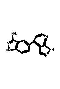 Nc1n[nH]c2ccc(-c3ccnc4[nH]ncc34)cc12